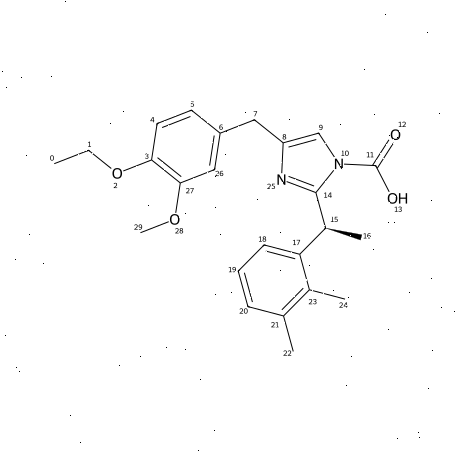 CCOc1ccc(Cc2cn(C(=O)O)c([C@@H](C)c3cccc(C)c3C)n2)cc1OC